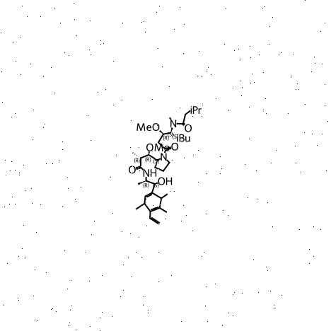 C=CC1=C(C)C(C)C([C@H](O)[C@@H](C)NC(=O)[C@H](C)[C@@H](OC)[C@@H]2CCCN2C(=O)C[C@@H](OC)[C@H]([C@@H](C)CC)N(C)C(=O)CC(C)C)=CC1C